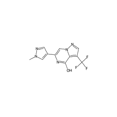 Cn1cc(-c2cn3ncc(C(F)(F)F)c3c(O)n2)cn1